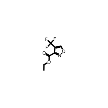 CCOC(=O)c1nocc1C(F)(F)F